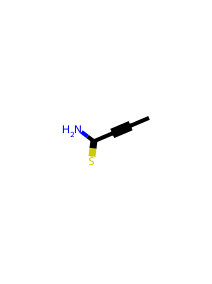 CC#CC(N)=S